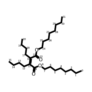 CCCCCCCCOC(=O)C(CCCC)=C(CCCC)C(=O)OCCCCCCCC